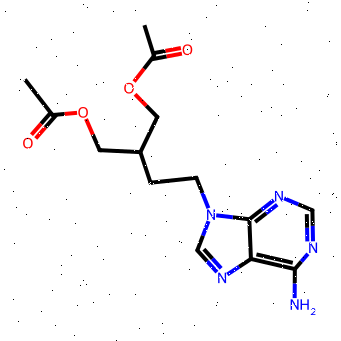 CC(=O)OCC(CCn1cnc2c(N)ncnc21)COC(C)=O